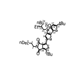 CCCCCCCCCCCCN1C(=O)c2c(-c3cc4c(s3)-c3sc(C(C)(C)C)cc3[Si]4(CCCCCCCC)CC(CC)CCCC)sc(C(C)(C)C)c2C1=O